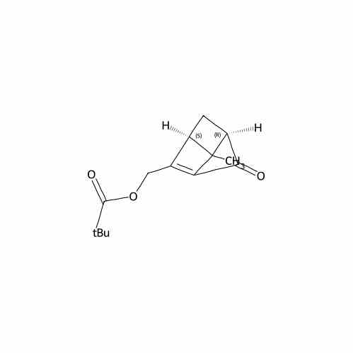 CC(C)(C)C(=O)OCC1=C2C(=O)[C@@H]3C[C@H]1C23C